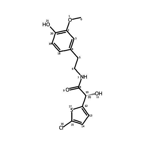 COc1cc(CCNC(=O)[C@H](O)c2ccc(Cl)s2)ccc1O